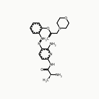 C=C(CN1CCOCC1)Oc1ccccc1/N=N/c1ccc(NC(=O)[C@H](C)N)nc1N